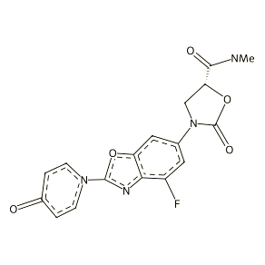 CNC(=O)[C@H]1CN(c2cc(F)c3nc(-n4ccc(=O)cc4)oc3c2)C(=O)O1